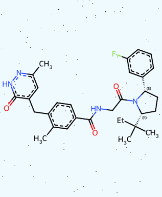 CCC(C)(C)[C@H]1CC[C@@H](c2cccc(F)c2)N1C(=O)CNC(=O)c1ccc(Cc2cc(C)n[nH]c2=O)c(C)c1